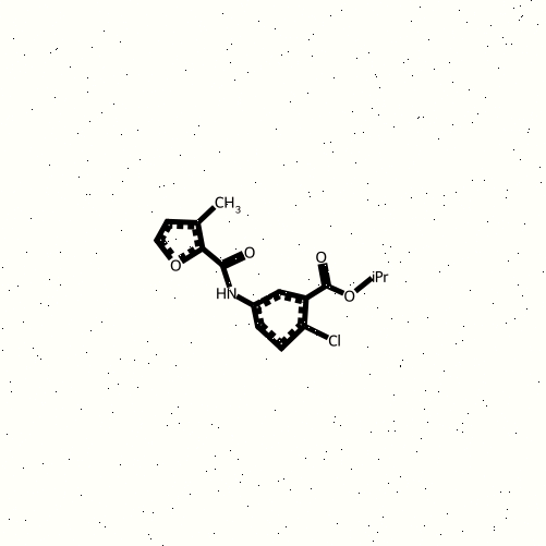 Cc1ccoc1C(=O)Nc1ccc(Cl)c(C(=O)OC(C)C)c1